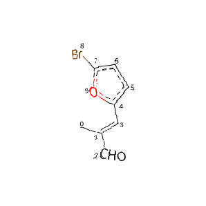 C/C(C=O)=C\c1ccc(Br)o1